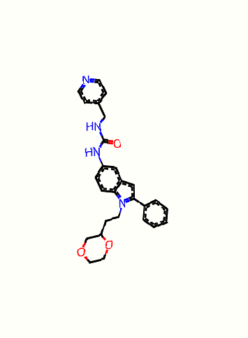 O=C(NCc1ccncc1)Nc1ccc2c(c1)cc(-c1ccccc1)n2CCC1COCCO1